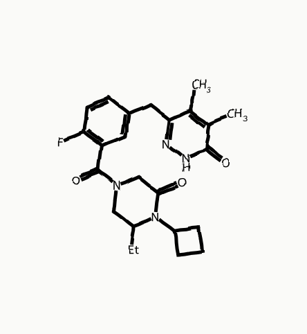 CCC1CN(C(=O)c2cc(Cc3n[nH]c(=O)c(C)c3C)ccc2F)CC(=O)N1C1CCC1